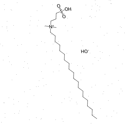 CCCCCCCCCCCCCCCCCCCC[N+](C)(C)CCCS(=O)(=O)O.[OH-]